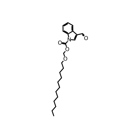 CCCCCCCCCCCCOCOC(=O)n1cc(C=O)c2ccccc21